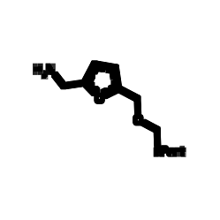 CCCCCCOCc1ccc(CN)o1